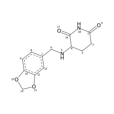 O=C1CCC(NCc2ccc3c(c2)OCO3)C(=O)N1